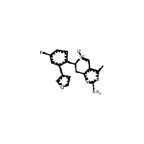 Cc1nc(N)nc2c1C=[N+]([O-])C(c1ccc(F)cc1-c1ccoc1)C2